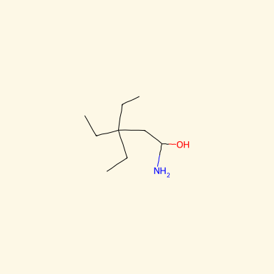 CCC(CC)(CC)CC(N)O